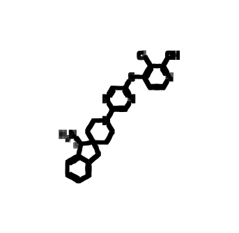 N[C@@H]1c2ccccc2CC12CCN(c1cnc(Sc3ccnc(O)c3Cl)cn1)CC2